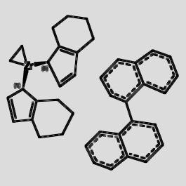 C1=C[C@@H]([Zr]2([C@@H]3C=CC4=C3CCCC4)[CH2][CH2]2)C2=C1CCCC2.c1ccc2c(-c3cccc4ccccc34)cccc2c1